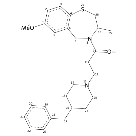 COc1ccc2c(c1)CN(C(=O)CCN1CCC(Cc3ccccc3)CC1)C(C)CS2